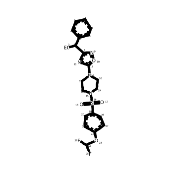 CCC(c1ccccc1)c1noc(N2CCN(S(=O)(=O)c3ccc(OC(F)F)cc3)CC2)n1